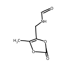 Cc1oc(=O)oc1CN[C]=O